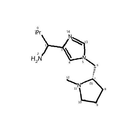 CC(C)C(N)c1cn(C[C@@H]2CCCN2C)cn1